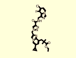 CCOC(=O)C(C)(C)Cc1cc(C2CC2)cn2cc(Cn3cc(C(=O)NCc4ncn5ccc(Cl)c(F)c45)nn3)nc12